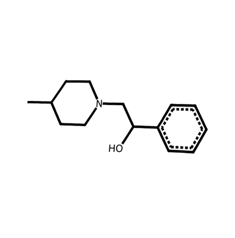 CC1CCN(CC(O)c2ccccc2)CC1